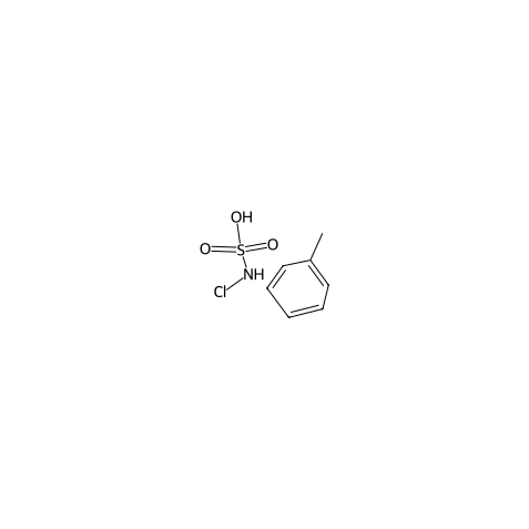 Cc1ccccc1.O=S(=O)(O)NCl